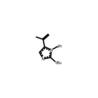 C=C(C)c1cnc(C(C)(C)C)n1C(C)C